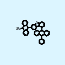 CC(C)(C)c1c2ccccc2c(-c2ccc3c(c2)sc2cccc(-c4c5ccccc5c(-c5ccccc5)c5ccccc45)c23)c2ccccc12